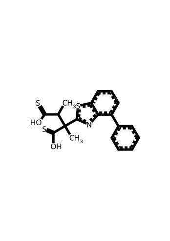 CC(C(O)=S)C(C)(C(O)=S)c1nc2c(-c3ccccc3)cccc2s1